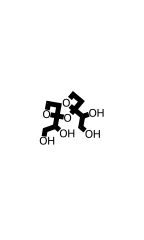 OCC(O)C1(OC2(C(O)CO)CCO2)CCO1